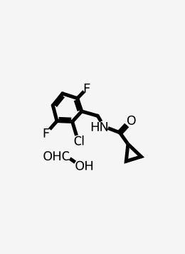 O=C(NCc1c(F)ccc(F)c1Cl)C1CC1.O=CO